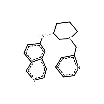 c1ccc(CN2CCC[C@@H](Nc3ccc4cnccc4c3)C2)nc1